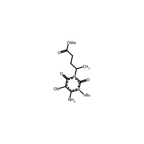 CCCCn1c(N)c(N=O)c(=O)n(C(C)CCC(=O)OC)c1=O